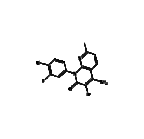 Cc1ccc2c(N)c(Br)c(=O)n(-c3ccc(Cl)c(F)c3)c2n1